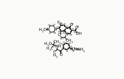 CC(NC(C)(C)C)C(=O)c1cccc(Cl)c1.CC1COc2c(N3CCN(C)CC3)c(F)cc3c(=O)c(C(=O)O)cn1c23.NN